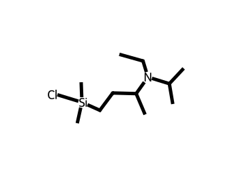 CCN(C(C)C)C(C)CC[Si](C)(C)Cl